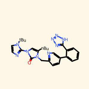 CCCCc1cn(-c2nccn2C(C)(C)C)c(=O)n1Cc1ccc(-c2ccccc2-c2nnn[nH]2)cn1